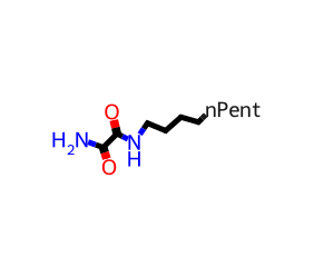 CCCCCCCCCNC(=O)C(N)=O